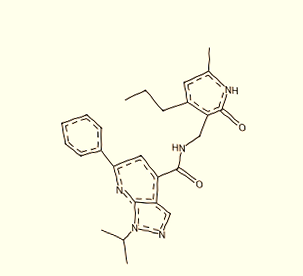 CCCc1cc(C)[nH]c(=O)c1CNC(=O)c1cc(-c2ccccc2)nc2c1cnn2C(C)C